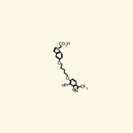 CCCc1c(OCCCCCOc2ccc3c(ccn3CC(=O)O)c2)ccc2c(C(F)(F)F)noc12